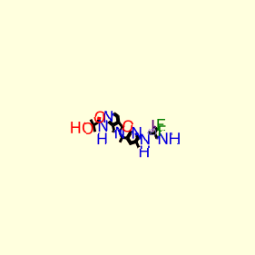 Cc1cc(C(C)N2Cc3c(ccnc3NC(=O)C(C)(C)O)C2=O)cnc1N/C=C(\C=N)C(F)(F)I